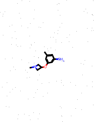 Cc1cc(N)cc(OC2CN(C)C2)c1